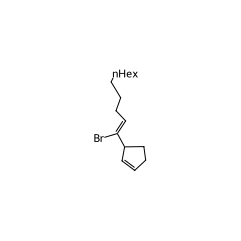 CCCCCCCCCC=C(Br)C1C=CCC1